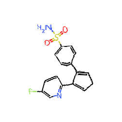 NS(=O)(=O)c1ccc(C2=CCC=C2c2ccc(F)cn2)cc1